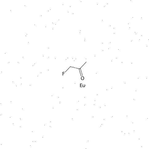 CC(=O)CF.[Eu]